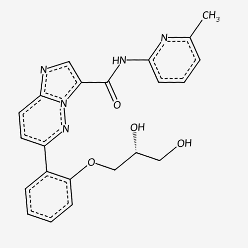 Cc1cccc(NC(=O)c2cnc3ccc(-c4ccccc4OC[C@H](O)CO)nn23)n1